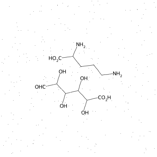 NCCCC(N)C(=O)O.O=CC(O)C(O)C(O)C(O)C(=O)O